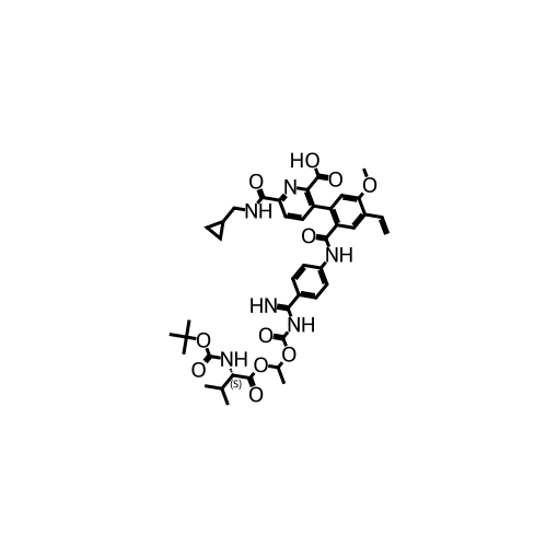 C=Cc1cc(C(=O)Nc2ccc(C(=N)NC(=O)OC(C)OC(=O)[C@@H](NC(=O)OC(C)(C)C)C(C)C)cc2)c(-c2ccc(C(=O)NCC3CC3)nc2C(=O)O)cc1OC